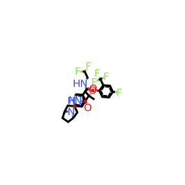 CC(C)(Oc1ccc(F)cc1C(F)(F)F)C(=O)NC1CC2CCC(C1)N2c1ccc(C(=O)NCC(F)F)cn1